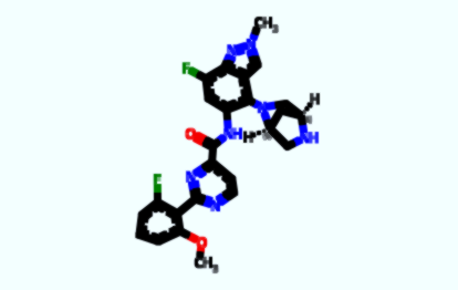 COc1cccc(F)c1-c1nccc(C(=O)Nc2cc(F)c3nn(C)cc3c2N2C[C@@H]3C[C@H]2CN3)n1